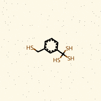 SCc1cccc(C(S)(S)S)c1